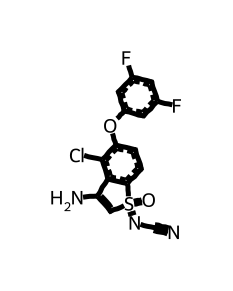 N#CN=S1(=O)C=C(N)c2c1ccc(Oc1cc(F)cc(F)c1)c2Cl